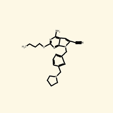 CCCCOc1nc(N)c2cc(C#N)n(Cc3cccc(CN4CCCC4)c3)c2n1